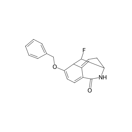 O=C1NC2CC=C3C1=CC=C(OCc1ccccc1)C3C2F